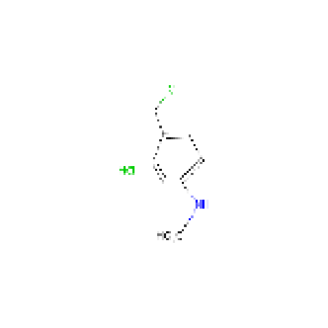 Cl.O=C(O)Nc1ccc(CCl)cc1